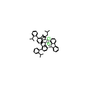 CC(C)CC1=Cc2c(-c3ccccc3C(C)C)cccc2[CH]1[Zr]([Cl])([Cl])([c]1cccc2c1[SiH2]c1ccccc1-2)[CH]1C(CC(C)C)=Cc2c(-c3ccccc3C(C)C)cccc21